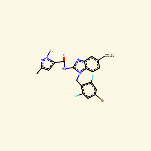 CCOC(=O)c1ccc2c(c1)nc(NC(=O)c1cc(C)nn1CC)n2Cc1c(F)cc(Br)cc1F